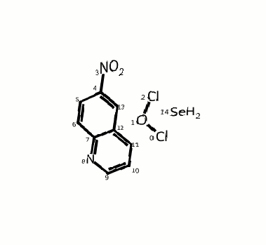 ClOCl.O=[N+]([O-])c1ccc2ncccc2c1.[SeH2]